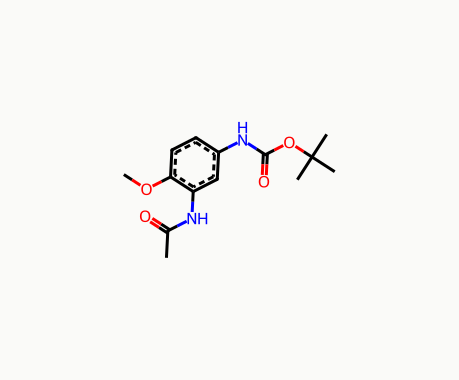 COc1ccc(NC(=O)OC(C)(C)C)cc1NC(C)=O